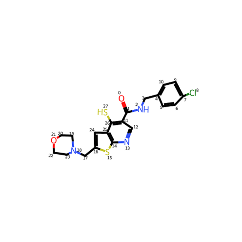 O=C(NCc1ccc(Cl)cc1)c1cnc2sc(CN3CCOCC3)cc2c1S